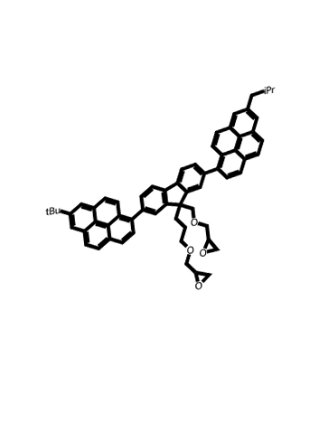 CC(C)Cc1cc2ccc3ccc(-c4ccc5c(c4)C(CCCOCC4CO4)(COCC4CO4)c4cc(-c6ccc7ccc8cc(C(C)(C)C)cc9ccc6c7c89)ccc4-5)c4ccc(c1)c2c34